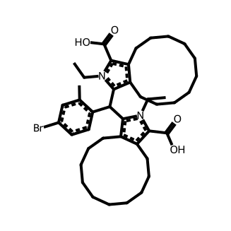 CCn1c(C(=O)O)c2c(c1C(c1ccc(Br)cc1C)c1c3c(c(C(=O)O)n1CC)CCCCCCCCCC3)CCCCCCCCCC2